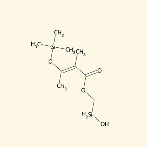 CC(O[Si](C)(C)C)=C(C)C(=O)OC[SiH2]O